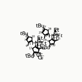 CC[SiH](CC)[Hf+]([C]1=C(C)C=C(C(C)(C)C)C1)[C]1=C(C)C=C(C(C)(C)C)C1.CC[SiH](CC)[Hf+]([C]1=C(C)C=C(C(C)(C)C)C1)[C]1=C(C)C=C(C(C)(C)C)C1.[Cl-].[Cl-]